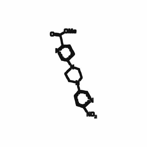 COC(=O)c1ccc(N2CCN(c3ccc([N+](=O)[O-])nc3)CC2)cn1